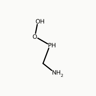 NCPOO